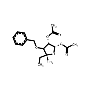 CC[C@@]1(C)O[C@@H](OC(C)=O)[C@@H](OC(C)=O)C1OCc1ccccc1